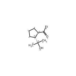 CCC(=O)N1CCC[C@H]1C(C)(C)O